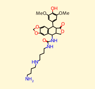 COc1cc(C2c3cc4c(cc3C(NC(=O)NCCCCNCCCCN)C3COC(=O)C23)OCO4)cc(OC)c1O